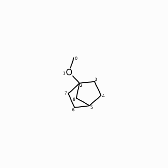 COC12CCC(CC1)C2